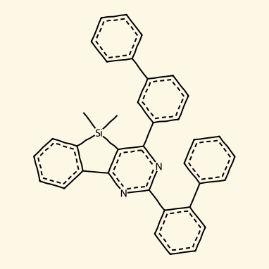 C[Si]1(C)c2ccccc2-c2nc(-c3ccccc3-c3ccccc3)nc(-c3cccc(-c4ccccc4)c3)c21